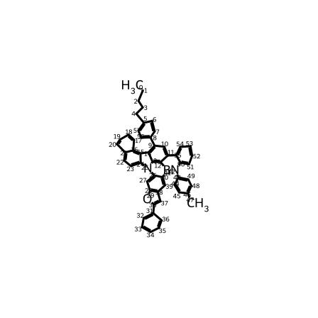 CCCCCc1ccc(-c2cc3c4c5c2c2c6ccccc6ccc2n5-c2cc5oc(-c6ccccc6)cc5cc2B4N(c2ccc(C)cc2)c2ccccc2-3)cc1